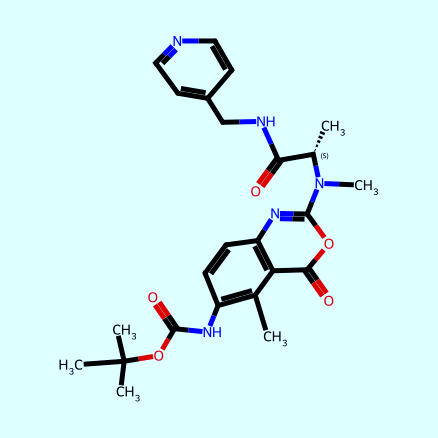 Cc1c(NC(=O)OC(C)(C)C)ccc2nc(N(C)[C@@H](C)C(=O)NCc3ccncc3)oc(=O)c12